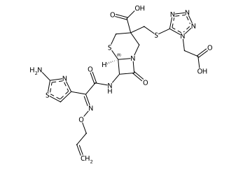 C=CCON=C(C(=O)NC1C(=O)N2CC(CSc3nnnn3CC(=O)O)(C(=O)O)CS[C@H]12)c1csc(N)n1